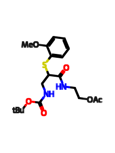 COc1ccccc1SC(CNC(=O)OC(C)(C)C)C(=O)NCCOC(C)=O